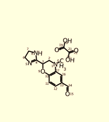 CN1CC(C2=NCCN2)Oc2ccc(C=O)cc21.O=C(O)C(=O)O